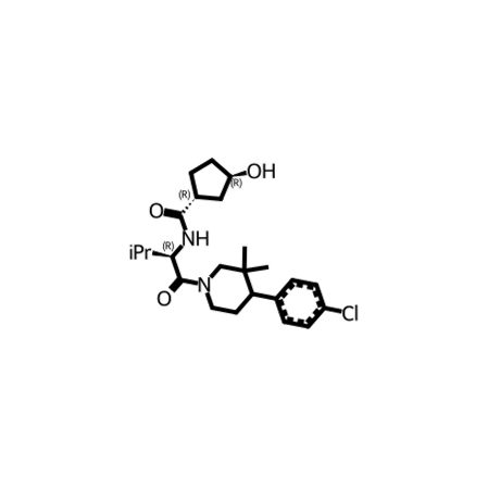 CC(C)[C@@H](NC(=O)[C@@H]1CC[C@@H](O)C1)C(=O)N1CCC(c2ccc(Cl)cc2)C(C)(C)C1